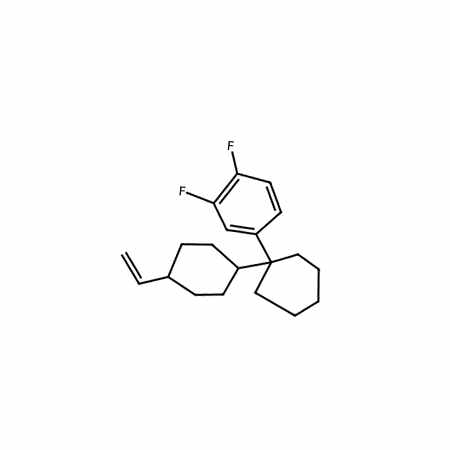 C=CC1CCC(C2(c3ccc(F)c(F)c3)CCCCC2)CC1